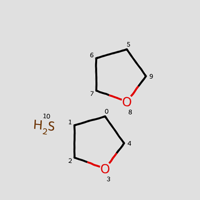 C1CCOC1.C1CCOC1.S